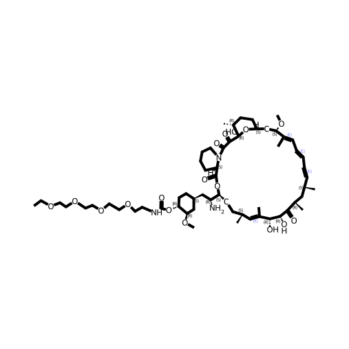 CCOCCOCCOCCOCCNC(=O)O[C@@H]1CC[C@@H](C[C@@H](N)[C@@H]2CC[C@H](C)/C=C(\C)[C@@H](O)[C@@H](O)C(=O)[C@H](C)C[C@H](C)/C=C/C=C/C=C(\C)[C@@H](OC)C[C@@H]3CC[C@@H](C)[C@@](O)(O3)C(=O)C(=O)N3CCCC[C@H]3C(=O)O2)C[C@H]1OC